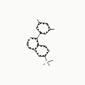 Cc1cc(C)cc(-c2nccc3cc([Si](C)(C)C)ccc23)c1